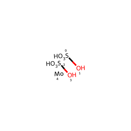 O=S(=O)(O)O.O=S(=O)(O)O.[Mo]